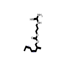 C=C(/C=C\C=C/C)COC(=O)OCCCNC(=N)N